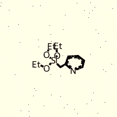 CCO[Si](Cc1ccccn1)(OCC)OCC